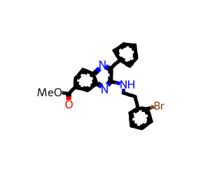 COC(=O)c1ccc2nc(-c3ccccc3)c(NCCc3ccccc3Br)nc2c1